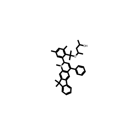 Cc1cc(C)c(C(C)(C)OC(C)CC(C)O)c(C2C=C(c3ccccc3)c3cc4c(cc3N2C)C(C)(C)c2ccccc2-4)c1